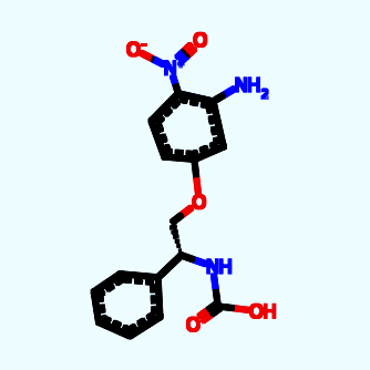 Nc1cc(OC[C@H](NC(=O)O)c2ccccc2)ccc1[N+](=O)[O-]